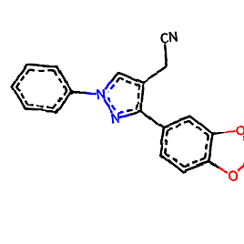 N#CCc1cn(-c2ccccc2)nc1-c1ccc2c(c1)OCO2